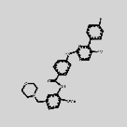 COc1ccc(CN2CCOCC2)cc1NC(=O)c1ccc(Nc2ncc(SC)c(-c3ccc(F)cc3)n2)cc1